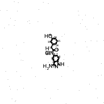 Cl.Nc1n[nH]c2ccc(NC(=O)Cc3cccc(O)c3)cc12